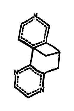 c1cnc2c(n1)CC1Cc3cncc1c3-2